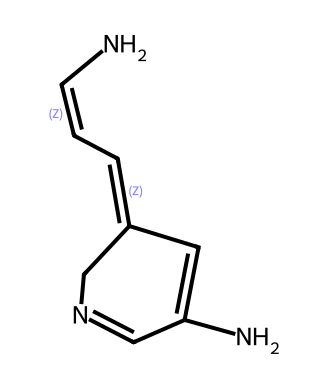 N/C=C\C=C1\C=C(N)C=NC1